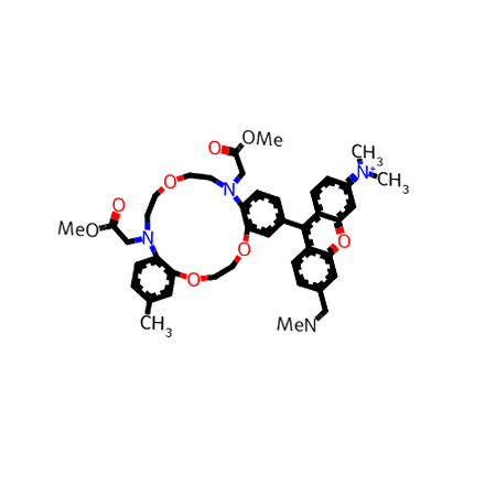 CNCc1ccc2c(-c3ccc4c(c3)OCCOc3cc(C)ccc3N(CC(=O)OC)CCOCCN4CC(=O)OC)c3ccc(=[N+](C)C)cc-3oc2c1